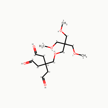 COCC(COC)(COC)COCC(CC=O)(CC=O)CC=O